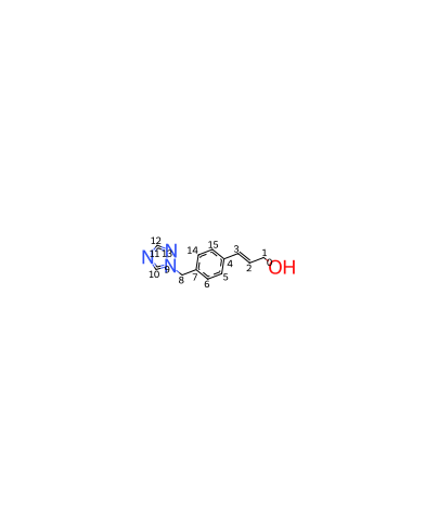 OCC=Cc1ccc(Cn2cncn2)cc1